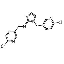 Clc1ccc(C/N=c2\sccn2Cc2ccc(Cl)nc2)cn1